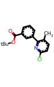 Cc1ccc(Cl)nc1-c1cccc(C(=O)OC(C)(C)C)c1